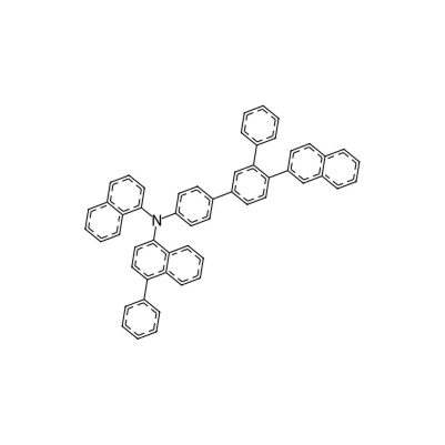 c1ccc(-c2cc(-c3ccc(N(c4cccc5ccccc45)c4ccc(-c5ccccc5)c5ccccc45)cc3)ccc2-c2ccc3ccccc3c2)cc1